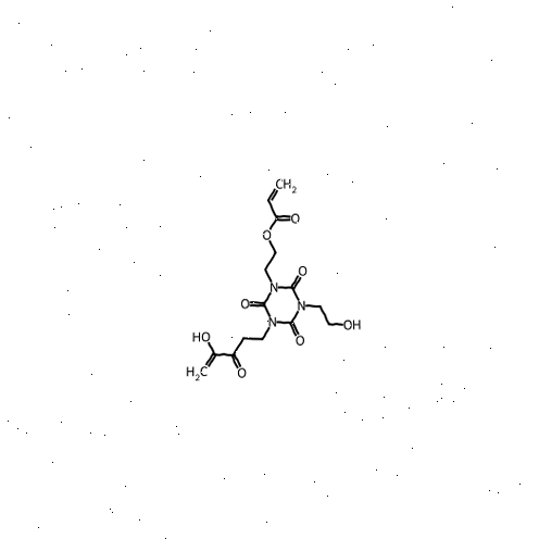 C=CC(=O)OCCn1c(=O)n(CCO)c(=O)n(CCC(=O)C(=C)O)c1=O